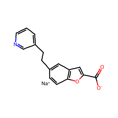 O=C([O-])c1cc2cc(CCc3cccnc3)ccc2o1.[Na+]